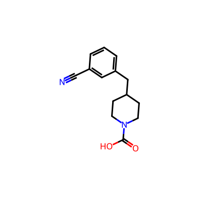 N#Cc1cccc(CC2CCN(C(=O)O)CC2)c1